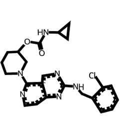 O=C(NC1CC1)OC1CCCN(c2nccc3nc(NCc4ccccc4Cl)ncc23)C1